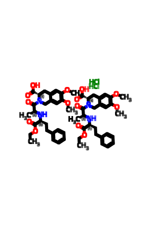 CCOC(=O)[C@H](CCc1ccccc1)N[C@@H](C)C(=O)N1Cc2cc(OC)c(OC)cc2C[C@H]1C(=O)O.CCOC(=O)[C@H](CCc1ccccc1)N[C@@H](C)C(=O)N1Cc2cc(OC)c(OC)cc2C[C@H]1C(=O)O.Cl.Cl